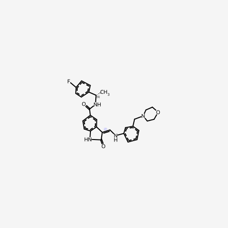 C[C@H](NC(=O)c1ccc2c(c1)/C(=C/Nc1cccc(CN3CCOCC3)c1)C(=O)N2)c1ccc(F)cc1